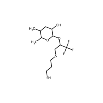 CC1CC(O)C(OC(CSCCCS)C(F)(F)F)OC1C